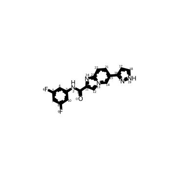 O=C(Nc1cc(F)cc(F)c1)c1cn2cc(-c3cc[nH]n3)ccc2n1